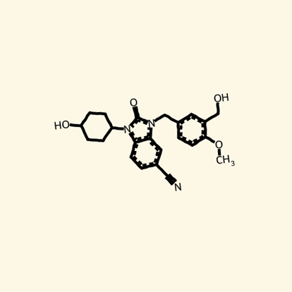 COc1ccc(Cn2c(=O)n(C3CCC(O)CC3)c3ccc(C#N)cc32)cc1CO